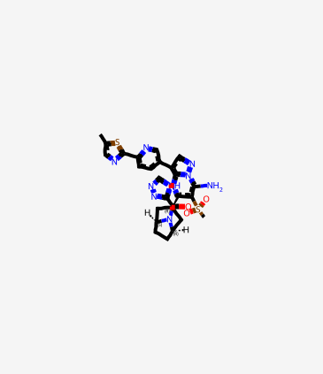 Cc1cnc(-c2ccc(-c3cnn4c(N)c(S(C)(=O)=O)c([C@H]5C[C@H]6CC[C@@H](C5)N6C(=O)c5nnc[nH]5)nc34)cn2)s1